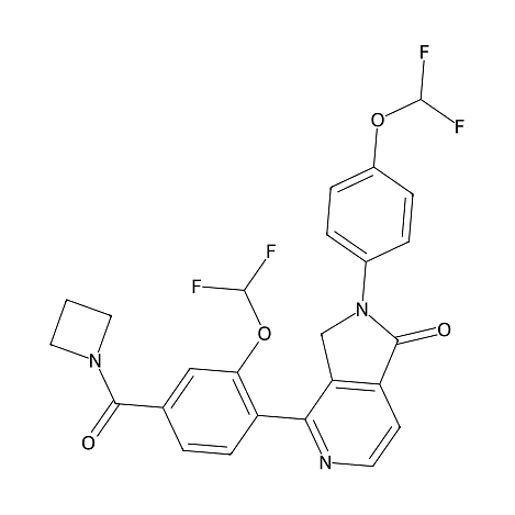 O=C(c1ccc(-c2nccc3c2CN(c2ccc(OC(F)F)cc2)C3=O)c(OC(F)F)c1)N1CCC1